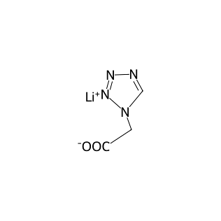 O=C([O-])Cn1cnnn1.[Li+]